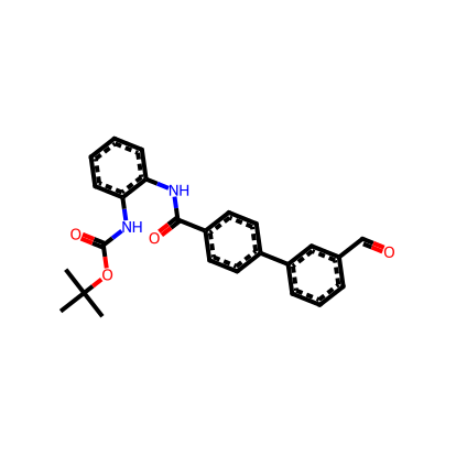 CC(C)(C)OC(=O)Nc1ccccc1NC(=O)c1ccc(-c2cccc(C=O)c2)cc1